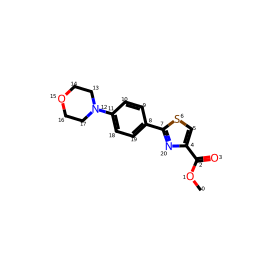 COC(=O)c1csc(-c2ccc(N3CCOCC3)cc2)n1